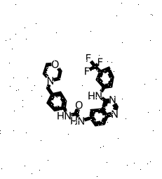 O=C(Nc1ccc(CN2CCOCC2)cc1)Nc1ccc2ncnc(Nc3cccc(C(F)(F)F)c3)c2c1